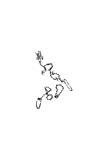 CC(C)(C)[Si](C)(C)OCc1cccc(N2CCN(C(=O)[C@H]3CC[C@@H](OC(=O)c4ccccc4)CC3)CC2)c1F